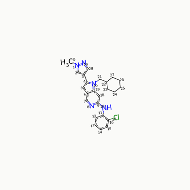 Cn1cc(-c2cc3cnc(Nc4ccccc4Cl)cc3n2CC2CCCCC2)cn1